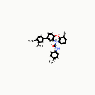 CCc1ccccc1Oc1ccc(-c2ccc(OC)c(C(=O)O)c2)cc1NC(=O)Nc1ccc(C(F)(F)F)cc1